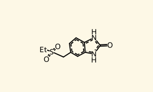 CCS(=O)(=O)Cc1ccc2[nH]c(=O)[nH]c2c1